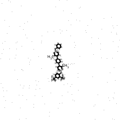 Cc1c[n+](Cc2ccccc2)ccc1-c1ccc(-c2cc[n+](Cc3ccc(C(F)(F)F)cc3C(F)(F)F)cc2C)cc1